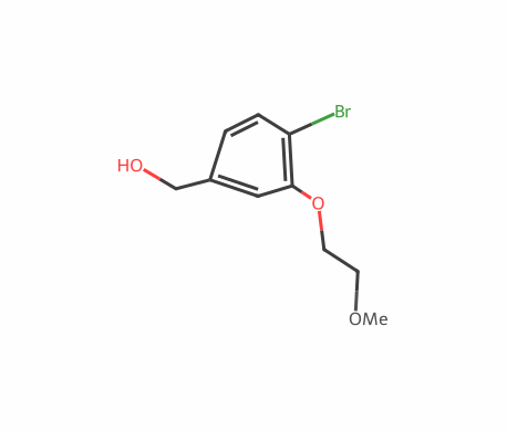 COCCOc1cc(CO)ccc1Br